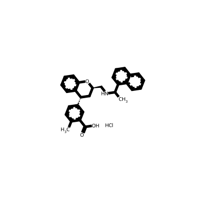 Cc1ccc([C@H]2C[C@H](CNC(C)c3cccc4ccccc34)Oc3ccccc32)cc1C(=O)O.Cl